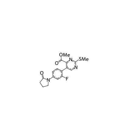 COC(=O)c1nc(SC)ncc1-c1ccc(N2CCCC2=O)cc1F